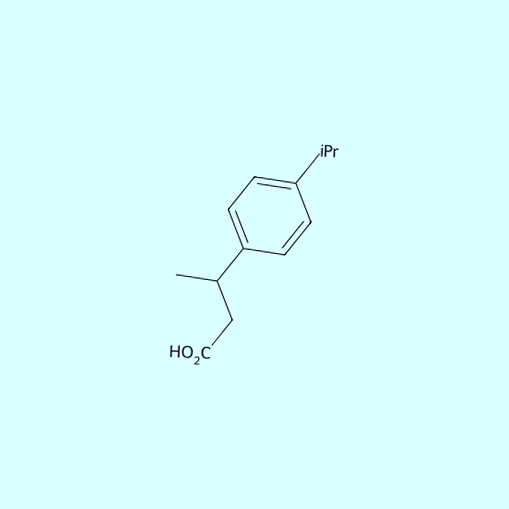 CC(C)c1ccc(C(C)CC(=O)O)cc1